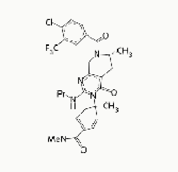 CNC(=O)C1=CCC(C)(n2c(NC(C)C)nc3c(c2=O)C[C@@H](C)N(C(=O)c2ccc(Cl)c(C(F)(F)F)c2)C3)C=C1